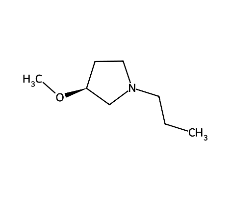 CCCN1CC[C@H](OC)C1